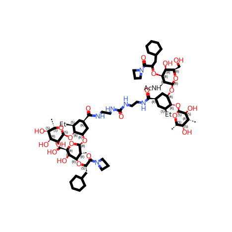 CC[C@H]1C[C@@H](C(=O)NCCNC(=O)NCCNC(=O)[C@@H]2C[C@H](CC)[C@@H](O[C@@H]3O[C@@H](C)[C@@H](O)[C@@H](C)[C@@H]3O)[C@H](O[C@@H]3O[C@H](CO)[C@H](O)[C@H](OC(CC4CCCCC4)C(=O)N4CCC4)[C@H]3NC(C)=O)C2)C[C@@H](O[C@@H]2O[C@H](CO)[C@H](O)[C@H](O[C@@H](CC3CCCCC3)C(=O)N3CCC3)[C@H]2C)[C@@H]1O[C@@H]1O[C@@H](C)[C@@H](O)[C@@H](O)[C@@H]1O